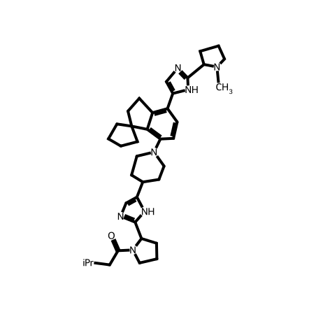 CC(C)CC(=O)N1CCCC1c1ncc(C2CCN(c3ccc(-c4cnc(C5CCCN5C)[nH]4)c4c3C3(CCCC3)CC4)CC2)[nH]1